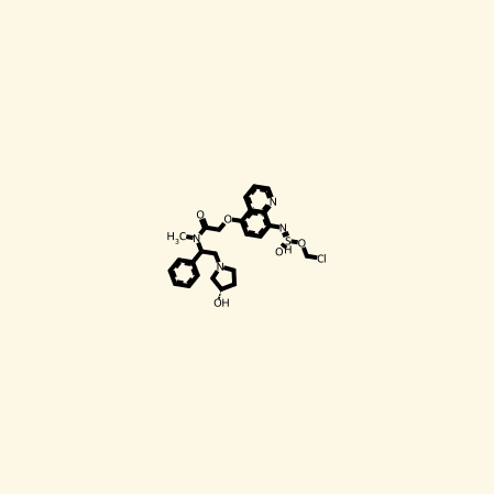 CN(C(=O)COc1ccc(N=[SH](=O)OCCl)c2ncccc12)C(CN1CC[C@H](O)C1)c1ccccc1